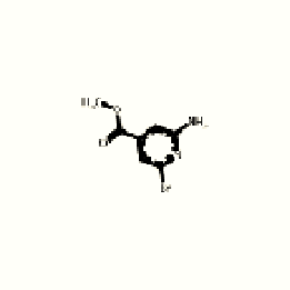 COC(=O)c1cc(N)nc(Br)c1